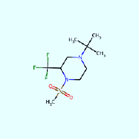 CC(C)(C)N1CCN(S(C)(=O)=O)C(C(F)(F)F)C1